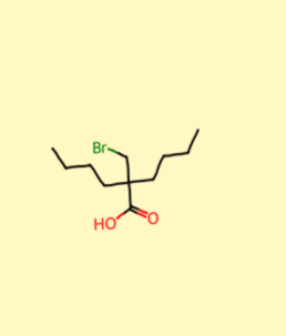 CCCCC(CBr)(CCCC)C(=O)O